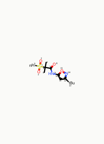 CCCS(=O)(=O)C(C)(C)C(=O)Nc1cc(C(C)(C)C)no1